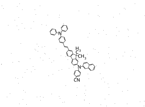 CC1(C)c2cc(/C=C/c3ccc(N(c4ccccc4)c4ccccc4)cc3)ccc2-c2ccc(N(c3ccc(C#N)cc3)c3ccc4ccccc4c3)cc21